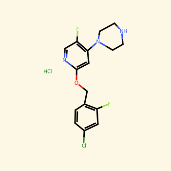 Cl.Fc1cc(Cl)ccc1COc1cc(N2CCNCC2)c(F)cn1